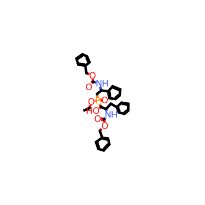 CCOP(=O)(CC(NC(=O)OCc1ccccc1)c1ccccc1)C(O)C(Cc1ccccc1)NC(=O)OCc1ccccc1